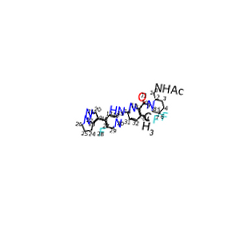 CC(=O)NC[C@H]1CCC(F)(F)CN1C(=O)c1nc(Nc2cc(-c3cnn4c3CCC4)c(F)cn2)ccc1C